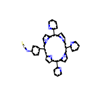 S=C=Nc1ccc(-c2c3nc(c(-c4ccccn4)c4ccc([nH]4)c(-c4ccccn4)c4nc(c(-c5ccccn5)c5ccc2[nH]5)C=C4)C=C3)cc1